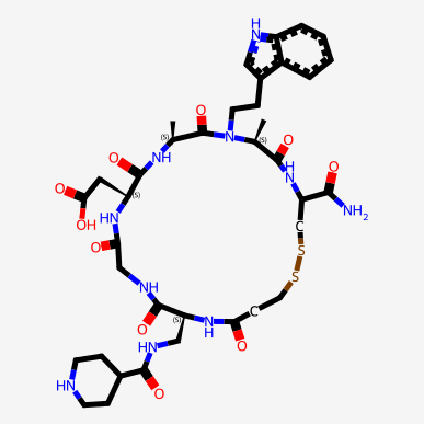 C[C@@H]1NC(=O)[C@H](CC(=O)O)NC(=O)CNC(=O)[C@H](CNC(=O)C2CCNCC2)NC(=O)CCSSCC(C(N)=O)NC(=O)[C@H](C)N(CCc2c[nH]c3ccccc23)C1=O